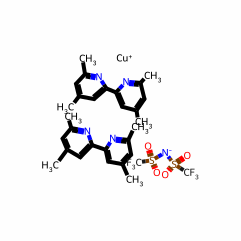 Cc1cc(C)nc(-c2cc(C)cc(C)n2)c1.Cc1cc(C)nc(-c2cc(C)cc(C)n2)c1.O=S(=O)([N-]S(=O)(=O)C(F)(F)F)C(F)(F)F.[Cu+]